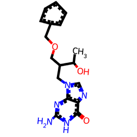 CC(O)C(COCc1ccccc1)Cn1cnc2c(=O)[nH]c(N)nc21